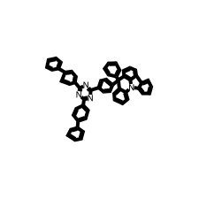 c1ccc(-c2ccc(-c3nc(-c4ccc(-c5ccccc5)cc4)nc(-c4ccc(C5(c6ccccc6)c6ccccc6-n6c7ccccc7c7cccc5c76)cc4)n3)cc2)cc1